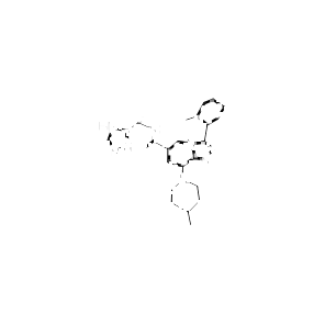 Cc1ccccc1-c1cnc2c(N3CCC(C)CC3)cc(C(=O)N[C@@H](C)c3nnc[nH]3)cn12